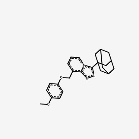 COc1ccc(OCc2cccn3c(C45CC6CC(CC(C6)C4)C5)nnc23)cc1